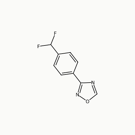 FC(F)c1ccc(-c2ncon2)cc1